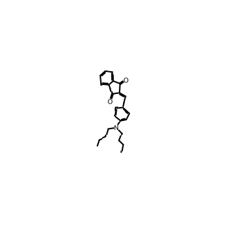 CCCCN(CCCC)c1ccc(C=C2C(=O)c3ccccc3C2=O)cc1